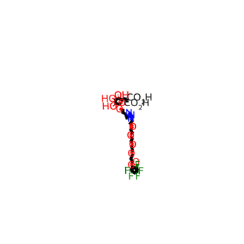 O=C(CCOCCOCCOCCOCCn1cc(CCO[C@H]2O[C@H](CC(C(=O)O)C(=O)O)[C@@H](O)[C@H](O)[C@@H]2O)nn1)Oc1c(F)c(F)c(F)c(F)c1F